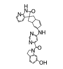 O=C(c1cc(NC2=CC3CC4(CC3C=C2)C(=O)Nc2ncccc24)ncn1)N1CCc2ccc(O)cc21